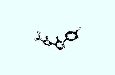 Cc1c(-c2ncc([N+](=O)[O-])n2C)cnn1-c1ccc(Cl)cc1